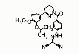 COc1ccc(C2=NN(C(=O)c3ccc(NN=C(C#N)C#N)cc3)CCC2)cc1OC(C)C